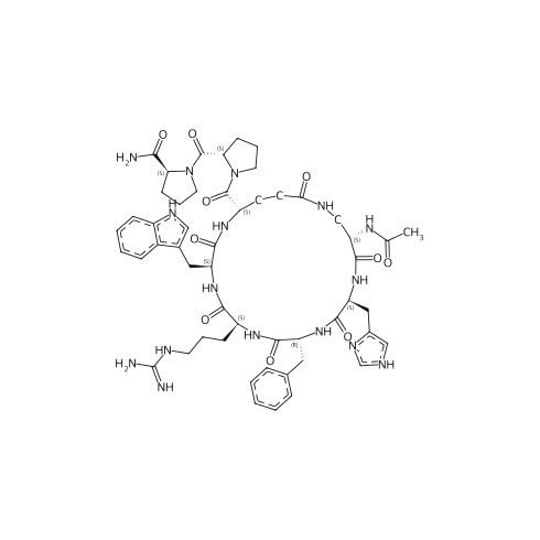 CC(=O)N[C@H]1CNC(=O)CC[C@@H](C(=O)N2CCC[C@H]2C(=O)N2CCC[C@H]2C(N)=O)NC(=O)[C@H](Cc2c[nH]c3ccccc23)NC(=O)[C@H](CCCNC(=N)N)NC(=O)[C@@H](Cc2ccccc2)NC(=O)[C@H](Cc2c[nH]cn2)NC1=O